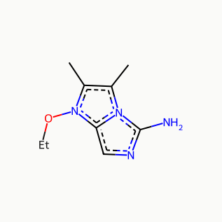 CCOn1c(C)c(C)n2c(N)ncc12